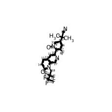 CC(C)(C#N)c1cc(F)c(-c2cc3ccc(=O)n(CC(F)(F)C(F)(F)F)c3cn2)[n+]([O-])c1